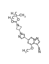 COc1cc(-c2cnn(C3CN(C(=O)OC(C)(C)C)C3)c2)cn2ncc(C#N)c12